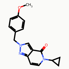 COc1ccc(Cn2cc3c(=O)n(C4CC4)ccc3n2)cc1